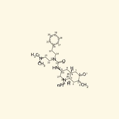 C=C1C[C@@H]2[C@@H](CC1=O)C[C@H](NC(=O)N(CCc1ccccc1)CCN(C)C)CN2CCC